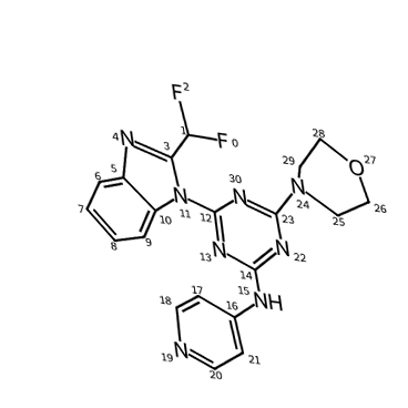 FC(F)c1nc2ccccc2n1-c1nc(Nc2ccncc2)nc(N2CCOCC2)n1